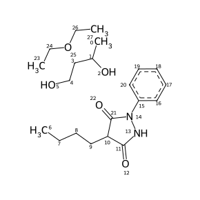 CC(O)CCO.CCCCC1C(=O)NN(c2ccccc2)C1=O.CCOCC